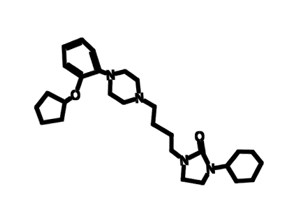 O=C1N(CCCCN2CCN(c3ccccc3OC3CCCC3)CC2)CCN1C1CCCCC1